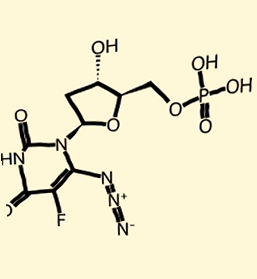 [N-]=[N+]=Nc1c(F)c(=O)[nH]c(=O)n1[C@H]1C[C@H](O)[C@@H](COP(=O)(O)O)O1